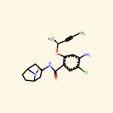 CC#C[C@H](C)Oc1cc(N)c(Cl)cc1C(=O)NC1CC2CCC(C1)N2C